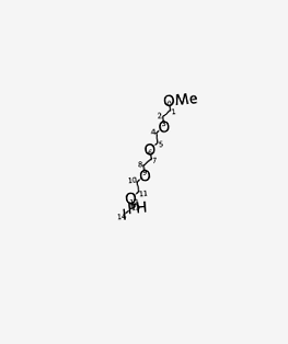 COCCOCCOCCOCCOPI